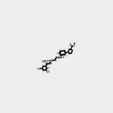 COC(=O)c1cccc(-c2cccc(NCCNCC(O)c3cc(Cl)cc(Cl)c3)c2)c1